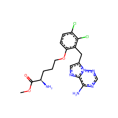 COC(=O)[C@H](N)CCCOc1ccc(Cl)c(Cl)c1Cc1cnc2c(N)ncnn12